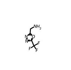 NCc1nnc(C(F)(F)F)o1